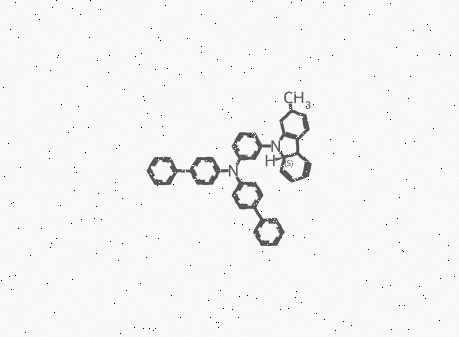 CC1C=CC2=C(C1)N(c1cccc(N(c3ccc(-c4ccccc4)cc3)c3ccc(-c4ccccc4)cc3)c1)[C@H]1C=CC#CC21